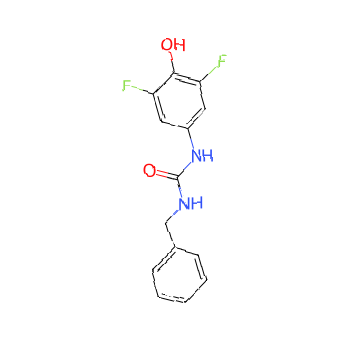 O=C(NCc1ccccc1)Nc1cc(F)c(O)c(F)c1